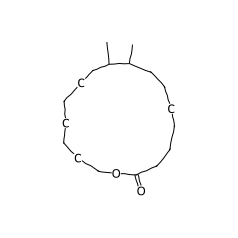 CC1CCCCCCCOC(=O)CCCCCCC1C